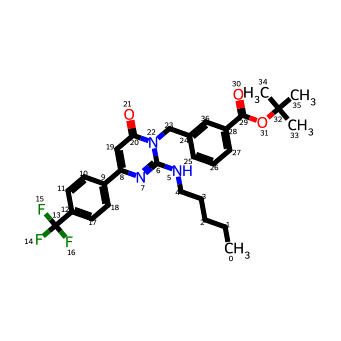 CCCCCNc1nc(-c2ccc(C(F)(F)F)cc2)cc(=O)n1Cc1cccc(C(=O)OC(C)(C)C)c1